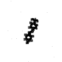 CC(C)C1CCN(CCC2CCN(C)CC2)CC1